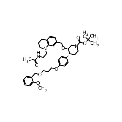 COc1ccccc1COCCCOc1ccc([C@H]2CCN(C(=O)OC(C)(C)C)C[C@@H]2OCc2ccc3c(c2)N(CCNC(C)=O)CCC3)cc1